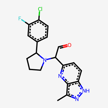 Cc1n[nH]c2ccc(C(C=O)N3CCCC3c3ccc(Cl)c(F)c3)nc12